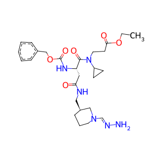 CCOC(=O)CCN(C(=O)[C@H](CC(=O)NC[C@@H]1CCCN(C=NN)C1)NC(=O)OCc1ccccc1)C1CC1